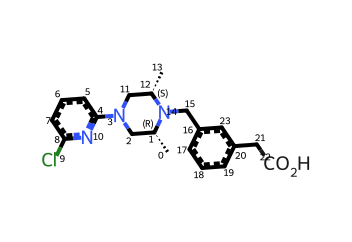 C[C@@H]1CN(c2cccc(Cl)n2)C[C@H](C)N1Cc1cccc(CC(=O)O)c1